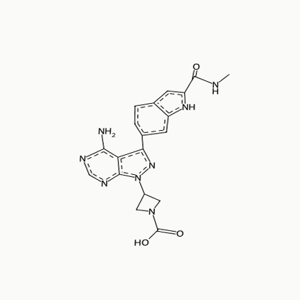 CNC(=O)c1cc2ccc(-c3nn(C4CN(C(=O)O)C4)c4ncnc(N)c34)cc2[nH]1